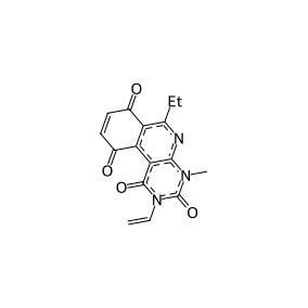 C=Cn1c(=O)c2c3c(c(CC)nc2n(C)c1=O)C(=O)C=CC3=O